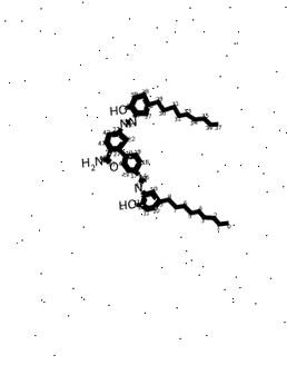 CCCCCCCCCc1ccc(O)c(N=Nc2ccc(-c3cc(N=Nc4cc(CCCCCCCCC)ccc4O)ccc3C(N)=O)cc2)c1